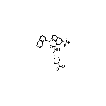 O=C(NC[C@H]1CC[C@H](C(=O)O)CC1)c1cc(C(F)(F)F)cc2ccn(Cc3cccc4cnccc34)c12